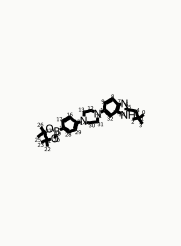 CC(C)(C)Cc1nc2ccc(N3CCN(c4ccc(B5OC(C)(C)C(C)(C)O5)cc4)CC3)cc2[nH]1